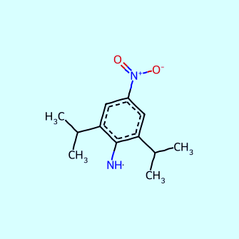 CC(C)c1cc([N+](=O)[O-])cc(C(C)C)c1[NH]